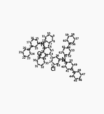 Clc1cc(-c2cc3c4ccccc4n(-c4cccc(-c5ccccc5)c4)c3c3oc4ccccc4c23)cc(N(c2ccc(-c3ccccc3)cc2)c2ccc(-c3ccccc3)cc2)c1